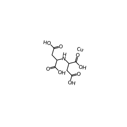 O=C(O)CC(NC(CC(=O)O)C(=O)O)C(=O)O.[Cu]